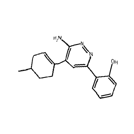 CC1CC=C(c2cc(-c3ccccc3O)nnc2N)CC1